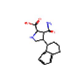 NC(=O)C1C(C(=O)O)NCC1C1CCCc2ccccc21